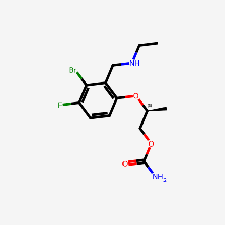 CCNCc1c(O[C@@H](C)COC(N)=O)ccc(F)c1Br